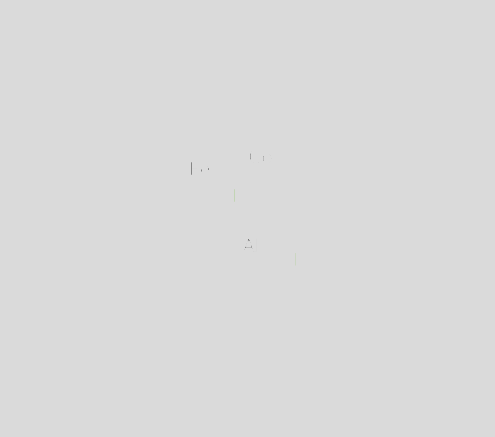 [F][Al]([F])[F].[Fe][Co]